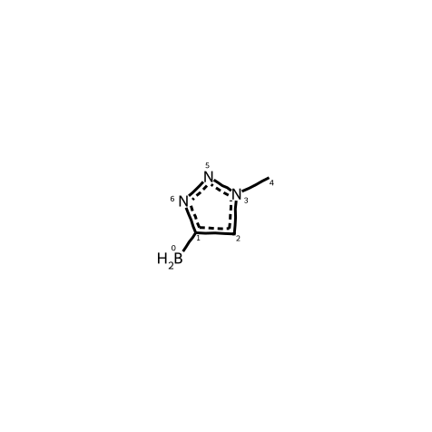 Bc1cn(C)nn1